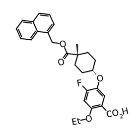 CCOc1cc(F)c(O[C@H]2CC[C@@](C)(C(=O)OCc3cccc4ccccc34)CC2)cc1C(=O)O